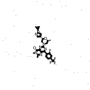 Cc1nc2c(-c3ccc(C(F)(F)F)cc3F)nc(N3C[C@H](C)O[C@@H](c4cnn(C5CC5)c4)C3)nc2c(=O)n1C